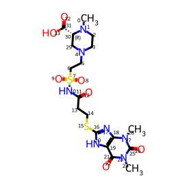 CN1CCN(CCS(=O)(=O)NC(=O)CCSc2nc3c([nH]2)c(=O)n(C)c(=O)n3C)C[C@@H]1C(=O)O